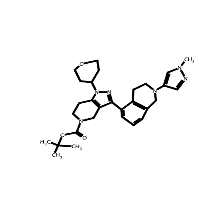 Cn1cc(N2CCc3c(cccc3-c3nn(C4CCOCC4)c4c3CN(C(=O)OC(C)(C)C)CC4)C2)cn1